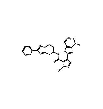 C=Cc1sc(-c2cnn(C)c2C(=O)NC2CCn3nc(-c4ccccc4)nc3C2)nc1C(F)F